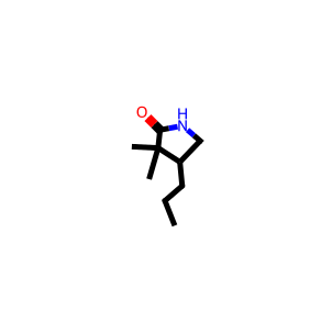 CCCC1CNC(=O)C1(C)C